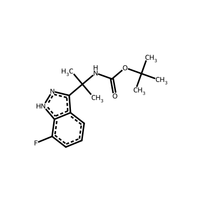 CC(C)(C)OC(=O)NC(C)(C)c1n[nH]c2c(F)cccc12